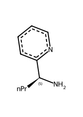 CCC[C@H](N)c1ccccn1